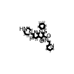 O=C(NCc1ccccn1)c1c(=O)c2cc(F)c(N3CCCNCC3)nc2n2c1sc1ccccc12